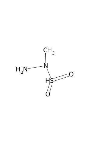 CN(N)[SH](=O)=O